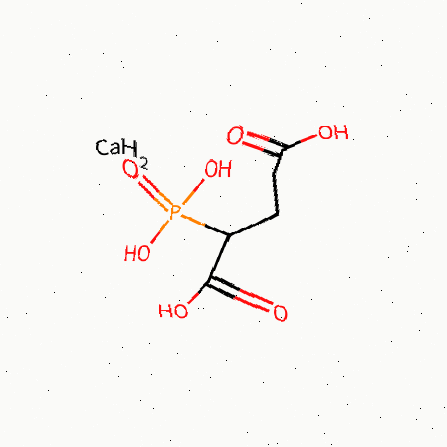 O=C(O)CC(C(=O)O)P(=O)(O)O.[CaH2]